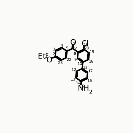 CCOc1ccc(C(=O)c2cc(-c3ccc(N)cc3)ccc2Cl)cc1